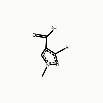 [2H]C(=O)c1cn(C)nc1Br